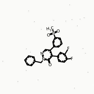 CS(=O)(=O)c1cccc(-c2cnn(Cc3ccccc3)c(=O)c2-c2ccc(F)c(F)c2)c1